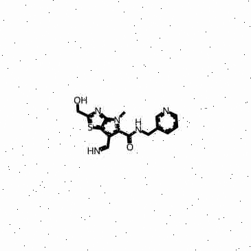 Cn1c(C(=O)NCc2cccnc2)c(C=N)c2sc(CO)nc21